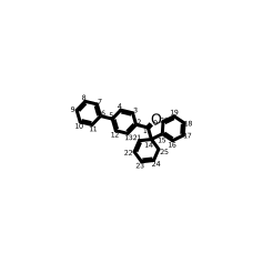 O=C(c1ccc(-c2ccccc2)cc1)C1(c2ccccc2)C=CC=CC1